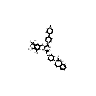 CN1CCC(C2CCN(C(=O)[C@@H](Cc3cc(Cl)c(N)c(C(F)(F)F)c3)NC(=O)ON3CCC(N4CCc5ccccc5NC4=O)CC3)CC2)CC1